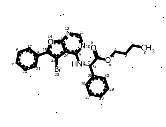 CCCCOC(=O)[C@@H](Nc1ncnc2oc(-c3ccccc3)c(Br)c12)c1ccccc1